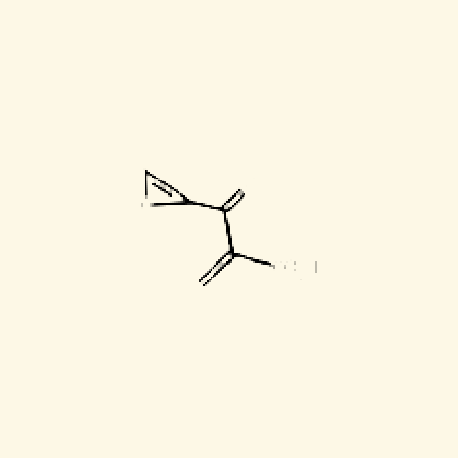 C=C(C(=O)O)C(=O)C1=CO1